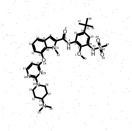 COc1c(NC(=O)c2cc3cccc(Oc4ccnc(N5CCC(N(C)C)CC5)n4)c3n2C)cc(C(C)(C)C)cc1NS(C)(=O)=O